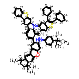 CC(C)(C)c1ccc(Nc2cc3oc4cc5c(cc4c3cc2-c2ccc3c4cc6c(cc4n4c3c2Bc2cc3sc(-c7ccccc7)c(-c7ccccc7)c3cc2-4)sc2ccccc26)C(C)(C)CCC5(C)C)cc1